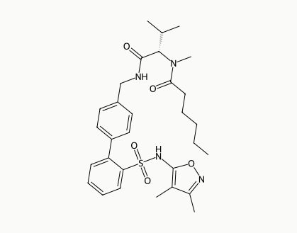 CCCCCC(=O)N(C)[C@H](C(=O)NCc1ccc(-c2ccccc2S(=O)(=O)Nc2onc(C)c2C)cc1)C(C)C